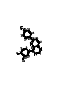 Cc1ccc(-c2ncnc3ccc(-c4ccc(F)cc4)nc23)cc1C